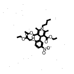 CCCCN1C(C)=C(C(=O)OCC)C(c2cc([N+](=O)[O-])ccc2OCC(=O)OCC)C(C(=O)OCC)=C1C